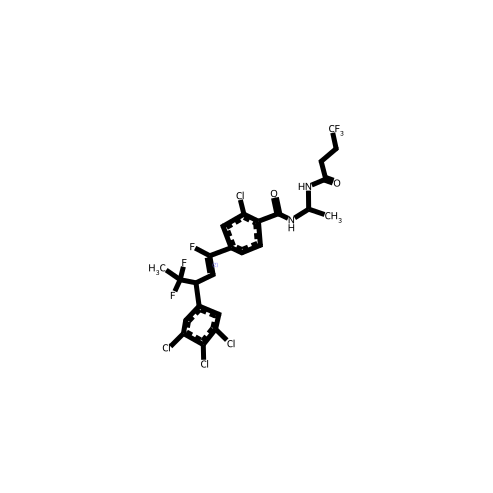 CC(NC(=O)CCC(F)(F)F)NC(=O)c1ccc(/C(F)=C/C(c2cc(Cl)c(Cl)c(Cl)c2)C(C)(F)F)cc1Cl